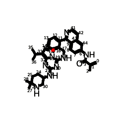 C=C(C)C(=O)Nc1ccc2c(-c3ccccc3CNc3nc(NC4CCC(C)(C)NC4)nc4c(C(C)C)cnn34)nccc2c1